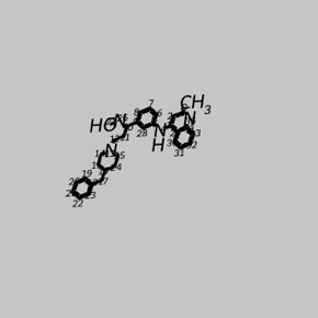 Cc1cc(Nc2cccc(/C(CCN3CCC(Cc4ccccc4)CC3)=N/O)c2)c2ccccc2n1